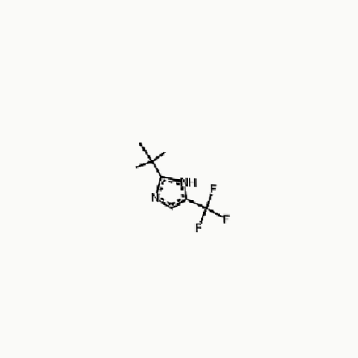 CC(C)(C)c1ncc(C(F)(F)F)[nH]1